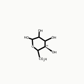 O=C(O)C1OC(O)C(O)C(O)[C@H]1O